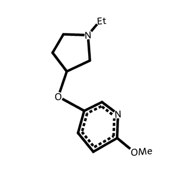 CCN1CCC(Oc2ccc(OC)nc2)C1